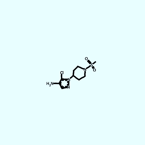 CS(=O)(=O)N1CCC(n2ncc(N)c2Cl)CC1